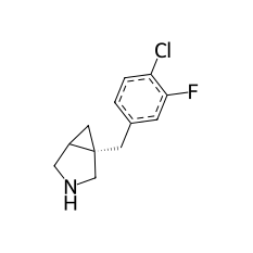 Fc1cc(C[C@]23CNCC2C3)ccc1Cl